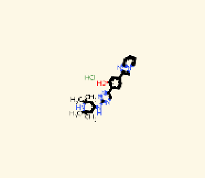 CC1(C)CC(Nc2ncc(-c3ccc(-c4cn5ccccc5n4)cc3O)nn2)CC(C)(C)N1.Cl